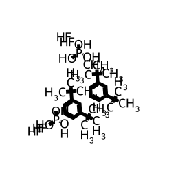 C.CC(C)(C)c1cccc(C(C)(C)C)c1.CC(C)(C)c1cccc(C(C)(C)C)c1.F.F.F.F.OP(O)O.OP(O)O